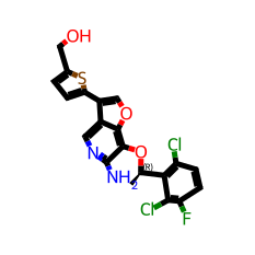 C[C@@H](Oc1c(N)ncc2c(-c3ccc(CO)s3)coc12)c1c(Cl)ccc(F)c1Cl